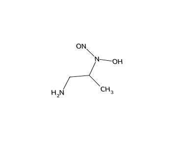 CC(CN)N(O)N=O